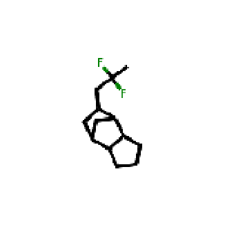 CC(F)(F)CC1CC2CC1C1CCCC21